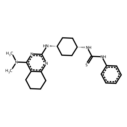 CN(C)c1nc(N[C@H]2CC[C@@H](NC(=S)Nc3ccccc3)CC2)nc2c1CCCC2